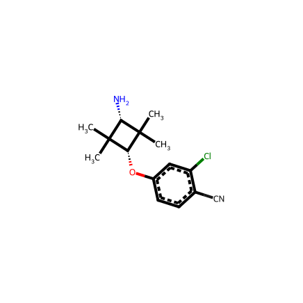 CC1(C)[C@H](N)C(C)(C)[C@@H]1Oc1ccc(C#N)c(Cl)c1